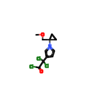 COCC1(n2ccc(C(Cl)(Cl)C(=O)Cl)c2)CC1